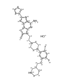 Cl.Nc1nc2c(sc(=O)n2CCN2CCN(c3cc(OCC4CNCCO4)c(F)cc3F)CC2)c2nc(-c3ccco3)nn12